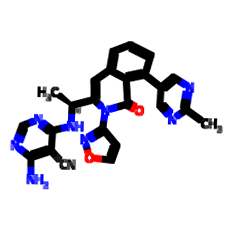 Cc1ncc(-c2cccc3cc([C@H](C)Nc4ncnc(N)c4C#N)n(-c4ccon4)c(=O)c23)cn1